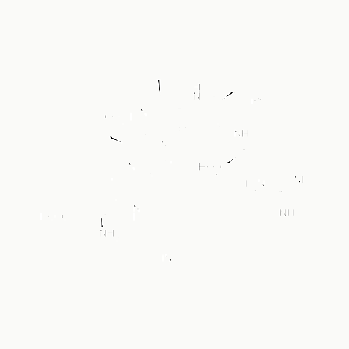 CC(C)C[C@H](NC(=O)[C@H](C)NC(=O)[C@H](CC(=O)O)NC(=O)[C@H](Cc1c[nH]c2ccccc12)NC(=O)[C@@H](N)CC(=O)O)C(=O)N[C@@H](CCCNC(=N)N)C(=O)O